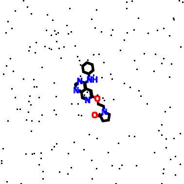 O=C1CCCN1CCOc1cc2c(NC3CCCCC3)ncnc2cn1